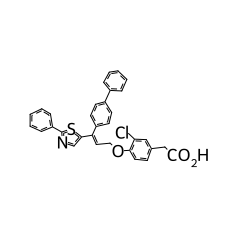 O=C(O)Cc1ccc(OC/C=C(\c2ccc(-c3ccccc3)cc2)c2cnc(-c3ccccc3)s2)c(Cl)c1